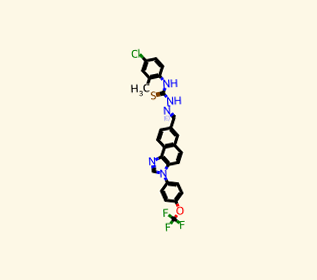 Cc1cc(Cl)ccc1NC(=S)N/N=C/c1ccc2c(ccc3c2ncn3-c2ccc(OC(F)(F)F)cc2)c1